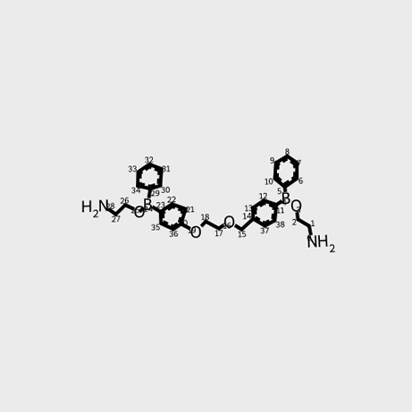 NCCOB(c1ccccc1)c1ccc(COCCOc2ccc(B(OCCN)c3ccccc3)cc2)cc1